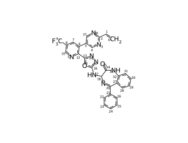 C=Cc1ncc(-c2cc(C(F)(F)F)cnc2-c2nnc(NC3N=C(c4ccccc4)c4ccccc4NC3=O)o2)cn1